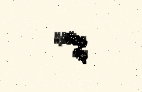 BC(B)(B)Oc1cc2c(-c3cnn4cc(C)cnc34)ccnc2cc1F